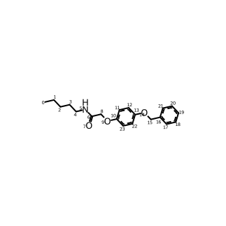 CCCCCNC(=O)COc1ccc(OCc2ccccc2)cc1